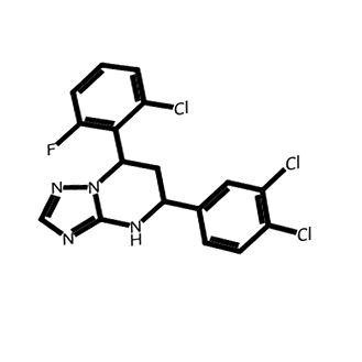 Fc1cccc(Cl)c1C1CC(c2ccc(Cl)c(Cl)c2)Nc2ncnn21